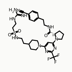 N#Cc1ccc(CCNC(=O)[C@@H]2CCCN2c2cc(N3CCC(CCNS(=O)(=O)CCNC(=N)N)CC3)nc(C(F)(F)F)n2)cc1